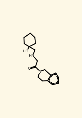 O=C(CNCC1(O)CCCCC1)N1CCc2ccccc2C1